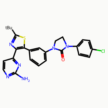 CC(C)(C)c1nc(-c2ccnc(N)n2)c(-c2cccc(N3CCN(c4ccc(Cl)cc4)C3=O)c2)s1